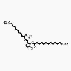 CCCCCCCCCCCCCCCCCCCCCC(=O)O[C@H]1[C@@H]([C@@H](CO)OC(=O)CCCCCCCCC(=O)O)OC[C@@H]1O